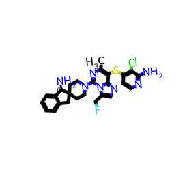 Cc1nc(N2CCC3(CC2)Cc2ccccc2[C@H]3N)n2c(CF)cnc2c1Sc1ccnc(N)c1Cl